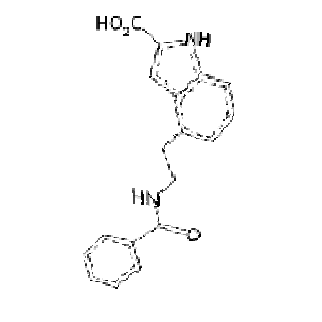 O=C(NCCc1cccc2[nH]c(C(=O)O)cc12)c1ccccc1